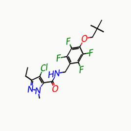 CCc1nn(C)c(C(=O)NCc2c(F)c(F)c(OCC(C)(C)C)c(F)c2F)c1Cl